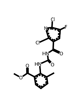 COC(=O)c1cccc(C)c1NC(=O)NC(=O)c1cc(F)c(Cl)nc1Cl